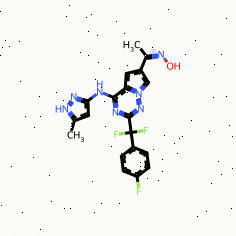 C/C(=N/O)c1cc2c(Nc3cc(C)[nH]n3)nc(C(F)(F)c3ccc(F)cc3)nn2c1